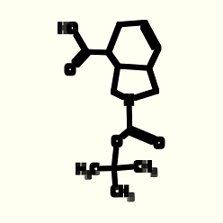 CC(C)(C)OC(=O)N1CC2C=CCC(C(=O)O)C2C1